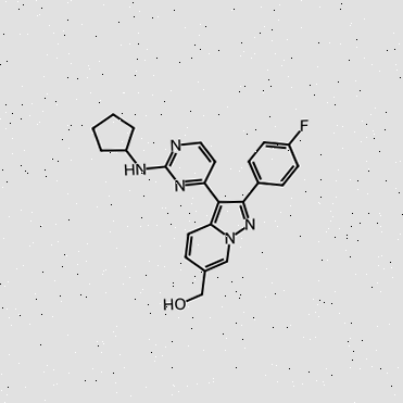 OCc1ccc2c(-c3ccnc(NC4CCCC4)n3)c(-c3ccc(F)cc3)nn2c1